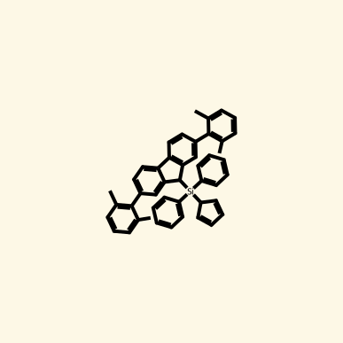 Cc1cccc(C)c1-c1ccc2c(c1)C([Si](c1ccccc1)(c1ccccc1)C1C=CC=C1)c1cc(-c3c(C)cccc3C)ccc1-2